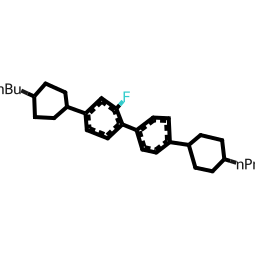 CCCCC1CCC(c2ccc(-c3ccc(C4CCC(CCC)CC4)cc3)c(F)c2)CC1